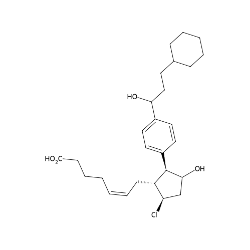 O=C(O)CCC/C=C\C[C@H]1[C@H](Cl)CC(O)[C@@H]1c1ccc(C(O)CCC2CCCCC2)cc1